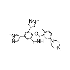 Cc1ccc(N2CCN(C)CC2)cc1C(=O)N[C@H](C)c1cc(-c2cnn(C)c2)cc(-c2cnn(C)c2)c1